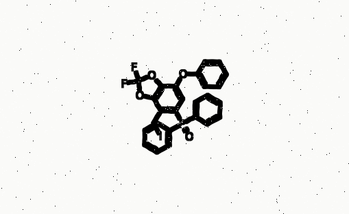 O=P(c1ccccc1)(c1ccccc1)c1cc(Oc2ccccc2)c2c(c1CI)OC(F)(F)O2